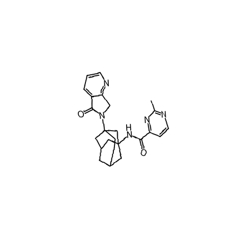 Cc1nccc(C(=O)NC23CC4CC(C2)CC(N2Cc5ncccc5C2=O)(C4)C3)n1